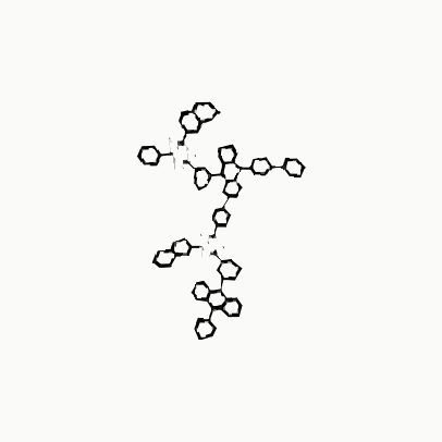 c1ccc(-c2ccc(-c3c4ccccc4c(-c4cccc(-c5nc(-c6ccccc6)nc(-c6ccc7ccccc7c6)n5)c4)c4cc(-c5ccc(-c6nc(-c7cccc(-c8c9ccccc9c(-c9ccccc9)c9ccccc89)c7)nc(-c7ccc8ccccc8c7)n6)cc5)ccc34)cc2)cc1